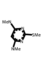 CNc1cc(NC)nc(SC)n1